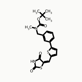 CN(Cc1cccc(-c2ccc(C=C3SC(=O)NC3=O)s2)c1)C(=O)OC(C)(C)C